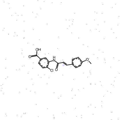 COc1ccc(/C=C/C(=O)Nc2cc(C(=O)O)ccc2Cl)cc1